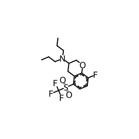 CCCN(CCC)C1COc2c(F)ccc(S(=O)(=O)C(F)(F)F)c2C1